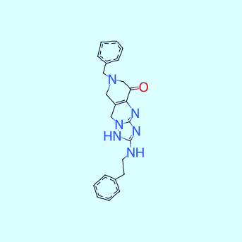 O=C1CN(Cc2ccccc2)CC2=C1N=C1N=C(NCCc3ccccc3)NN1C2